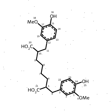 COc1cc(CC(CCCCC(Cc2ccc(O)c(OC)c2)C(=O)O)C(=O)O)ccc1O